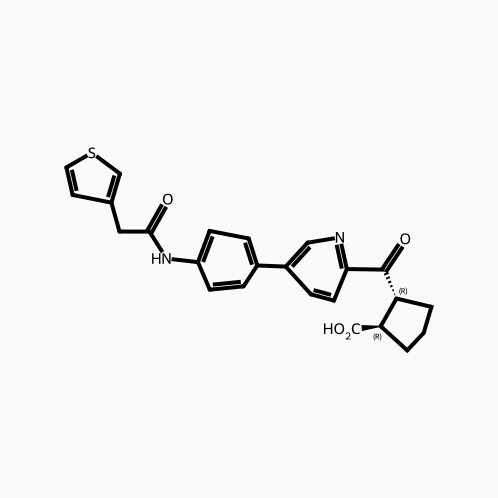 O=C(Cc1ccsc1)Nc1ccc(-c2ccc(C(=O)[C@@H]3CCC[C@H]3C(=O)O)nc2)cc1